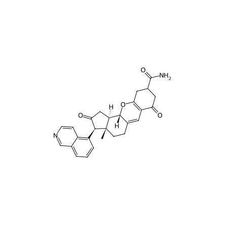 C[C@]12CCC3=CC4=C(CC(C(N)=O)CC4=O)O[C@H]3[C@@H]1CC(=O)[C@@H]2c1cccc2cnccc12